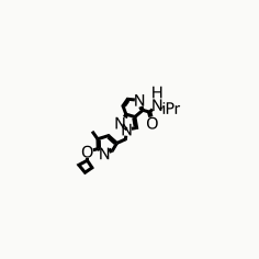 Cc1cc(Cn2cc3c(C(=O)NC(C)C)nccc3n2)cnc1OC1CCC1